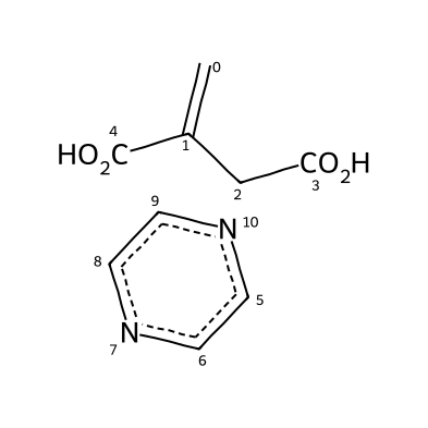 C=C(CC(=O)O)C(=O)O.c1cnccn1